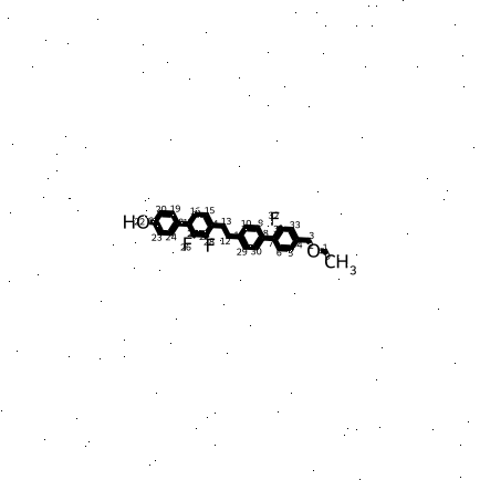 CCOCc1ccc(-c2ccc(CCC3=CCC(c4ccc(O)cc4)C(F)=C3F)cc2)c(F)c1